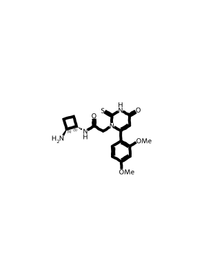 COc1ccc(-c2cc(=O)[nH]c(=S)n2CC(=O)N[C@H]2CC[C@@H]2N)c(OC)c1